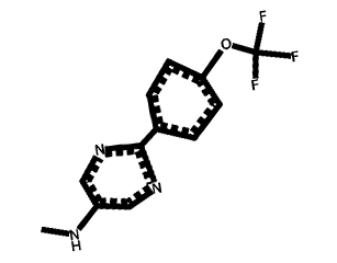 CNc1cnc(-c2ccc(OC(F)(F)F)cc2)nc1